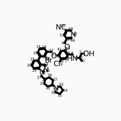 CC(CO)NCc1cc(Cl)c(OCc2cccc(-c3cccc4c3cnn4CC3CCC(N4CCCC4)CC3)c2Br)cc1OCc1cncc(C#N)c1